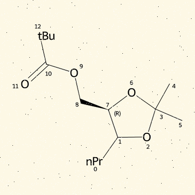 CCCC1OC(C)(C)O[C@@H]1COC(=O)C(C)(C)C